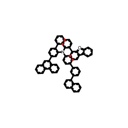 c1ccc(-c2ccc(-c3cc4ccccc4c4ccccc34)cc2N(c2ccc(-c3cccc(-c4cccc5ccccc45)c3)cc2)c2ccccc2-c2cccc3c2oc2ccccc23)cc1